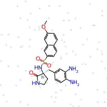 COc1ccc2ccc(S(=O)(=O)N[C@@]3(Cc4ccc(N)c(N)c4)CCNC3=O)cc2c1